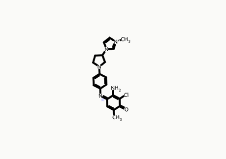 CC1=C/C(=N/c2ccc(N3CCC(n4cc[n+](C)c4)C3)cc2)C(N)=C(Cl)C1=O